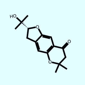 CC1(C)CC(=O)c2cc3c(cc2O1)C[C@H](C(C)(C)O)O3